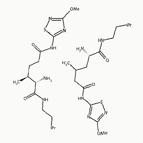 COc1nsc(NC(=O)CC(C)C[C@H](N)C(=O)NCCC(C)C)n1.COc1nsc(NC(=O)CC[C@H](C)[C@H](N)C(=O)NCCC(C)C)n1